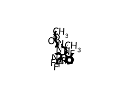 CCOC(=O)c1cn2c(n1)[C@H](C)N=C(c1c(F)cccc1F)c1c-2cnc(C(F)(F)F)c1Cl